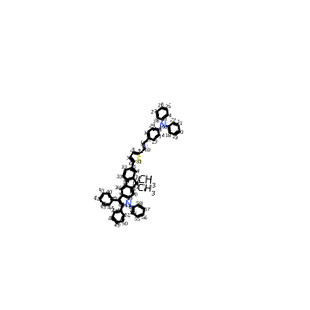 CC1(C)c2cc(-c3ccc(/C=C/c4ccc(N(c5ccccc5)c5ccccc5)cc4)s3)ccc2-c2cc3c(-c4ccccc4)c(-c4ccccc4)n(-c4ccccc4)c3cc21